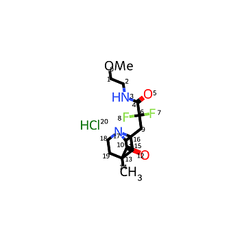 COCCNC(=O)C(F)(F)CC1C(=O)C2(C)CCN1CC2.Cl